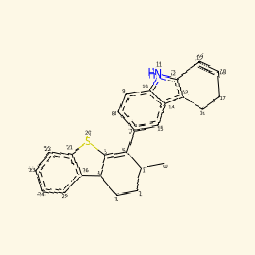 CC1CCC2C(=C1c1ccc3[nH]c4c(c3c1)CCC=C4)Sc1ccccc12